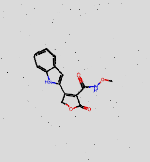 CONC(=O)C1=C(c2cc3ccccc3[nH]2)COC1=O